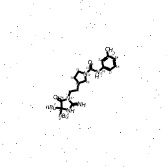 CCCCC1(CCCC)NC(=N)N(CCC2CCN(C(=O)Nc3cccc(C)c3)C2)C1=O